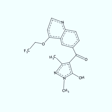 Cc1nn(C)c(O)c1C(=O)c1ccc2nccc(OCC(F)(F)F)c2c1